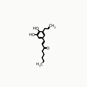 C=CCc1cc(C=CC(=O)CCCCC)cc(O)c1O